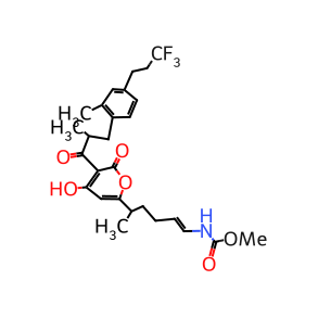 COC(=O)N/C=C/CCC(C)c1cc(O)c(C(=O)C(C)Cc2ccc(CCC(F)(F)F)cc2C)c(=O)o1